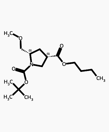 CCCCOC(=O)[C@H]1C[C@@H](COC)N(C(=O)OC(C)(C)C)C1